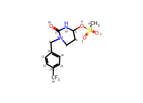 CS(=O)(=O)OC1CCN(Cc2ccc(C(F)(F)F)cc2)C(=O)N1